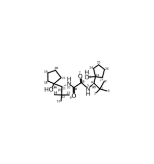 CC(C)(C)[C@@H](NC(=O)C(=O)N[C@H](C(C)(C)C)C1(O)CCCC1)C1(O)CCCC1